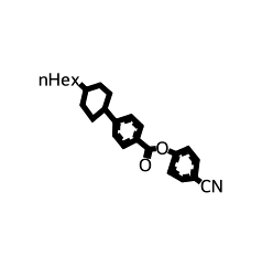 CCCCCCC1CCC(c2ccc(C(=O)Oc3ccc(C#N)cc3)cc2)CC1